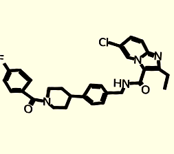 CCc1nc2ccc(Cl)cn2c1C(=O)NCc1ccc(C2CCN(C(=O)c3ccc(F)cc3)CC2)cc1